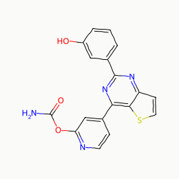 NC(=O)Oc1cc(-c2nc(-c3cccc(O)c3)nc3ccsc23)ccn1